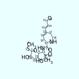 CSC1OC(C(NC(=O)C2CC=C(/C=C/C=O)CCN2)C(C)Cl)[C@@H](O)CC1O